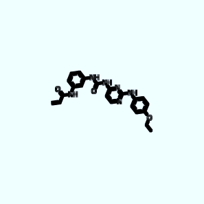 C=CC(=O)Nc1cccc(NC(=O)Nc2ccnc(Nc3ccc(OCC)cc3)n2)c1